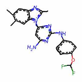 Cc1cc2nc(C)n(-c3cc(N)nc(Nc4ccc(OC(F)F)cc4)n3)c2cc1C